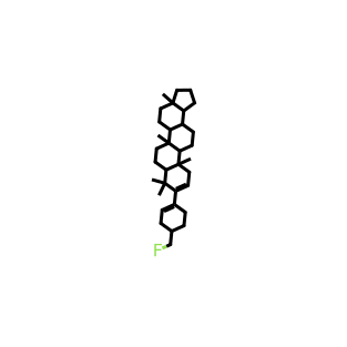 CC12CCCC1C1CCC3C(C)(CCC4C(C)(C)C(C5=CCC(CF)CC5)=CCC43C)C1CC2